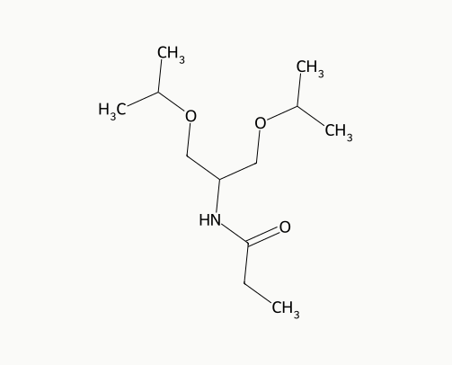 CCC(=O)NC(COC(C)C)COC(C)C